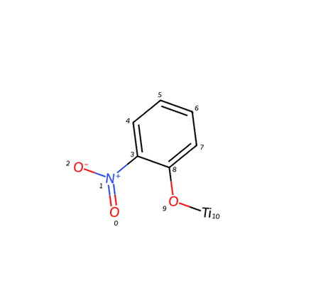 O=[N+]([O-])c1ccccc1[O][Ti]